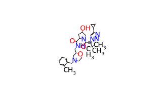 Cc1ccccc1CN1CCOC(CNC(=O)C2CC(O)CN2C(=O)[C@@H](n2cc(C3CC3)nn2)C(C)(C)C)C1